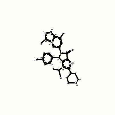 Cc1cc(N2C(=O)c3nc(C4CCOCC4)n(C(C)C)c3[C@H]2c2ccc(Cl)cc2)cn2c(C)nnc12